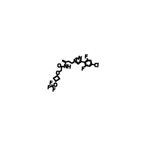 C=C(CCn1cnc(-c2c(F)cc(Cl)cc2F)c1)NC(=O)CO[C@H]1C[C@@H](OC(F)(F)F)C1